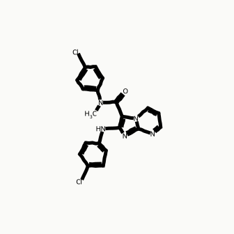 CN(C(=O)c1c(Nc2ccc(Cl)cc2)nc2ncccn12)c1ccc(Cl)cc1